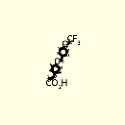 O=C(O)/C=C/c1ccc(OCC2CCC(OCC(F)(F)F)CC2)cc1